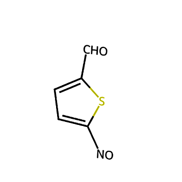 O=Cc1ccc(N=O)s1